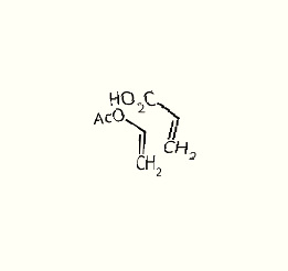 C=CC(=O)O.C=COC(C)=O